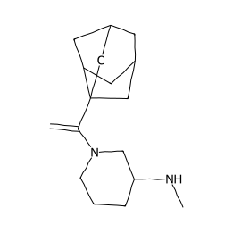 C=C(N1CCCC(NC)C1)C12CC3CC(CC1C3)C2